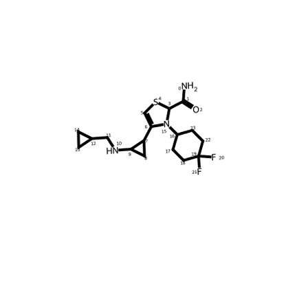 NC(=O)C1SC=C(C2CC2NCC2CC2)N1C1CCC(F)(F)CC1